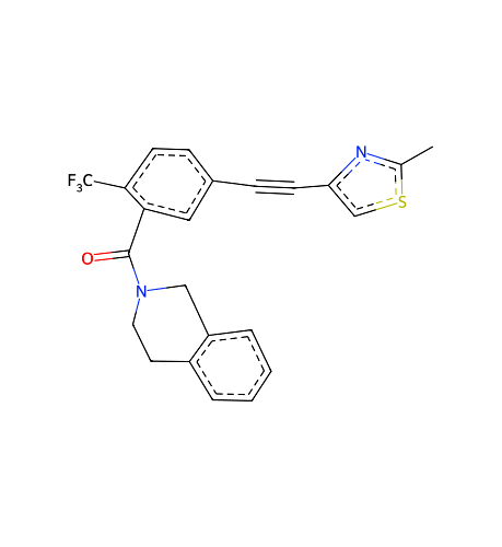 Cc1nc(C#Cc2ccc(C(F)(F)F)c(C(=O)N3CCc4ccccc4C3)c2)cs1